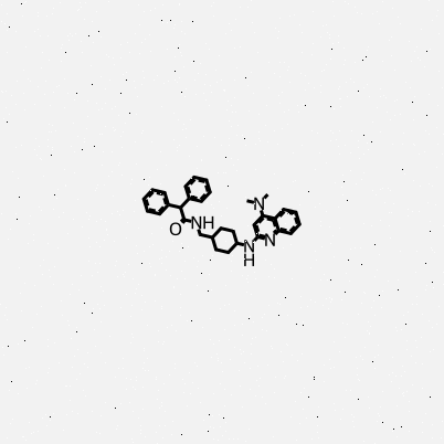 CN(C)c1cc(NC2CCC(CNC(=O)C(c3ccccc3)c3ccccc3)CC2)nc2ccccc12